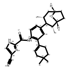 C[C@@H]1C[C@@H]2CC[C@@H](O2)[C@H](C)C1c1ccc(NC(=O)c2nc(C#N)c[nH]2)c(C2=CCC(C)(C)CC2)c1